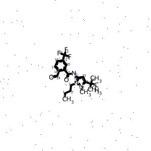 CCCCn1/c(=N\C(=O)c2cc(C(F)(F)F)ccc2C=O)cc(C(C)(C)C)n1C